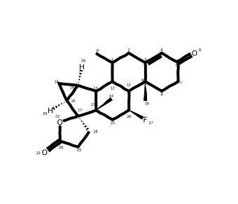 CC1CC2=CC(=O)CC[C@]2(C)C2C1C1[C@@H]3C[C@@H]3[C@@]3(CCC(=O)O3)[C@@]1(C)C[C@@H]2F